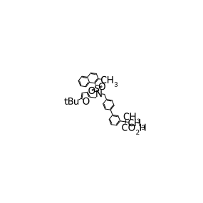 Cc1ccc2ccccc2c1S(=O)(=O)N(Cc1ccc(-c2cccc(C(C)(C)C(=O)O)c2)cc1)Cc1ccc(C(C)(C)C)o1